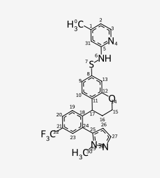 Cc1ccnc(NSc2ccc3c(c2)OCCC3c2ccc(C(F)(F)F)cc2-c2ccnn2C)c1